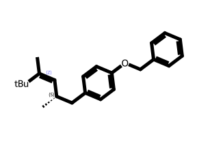 C/C(=C/[C@@H](C)Cc1ccc(OCc2ccccc2)cc1)C(C)(C)C